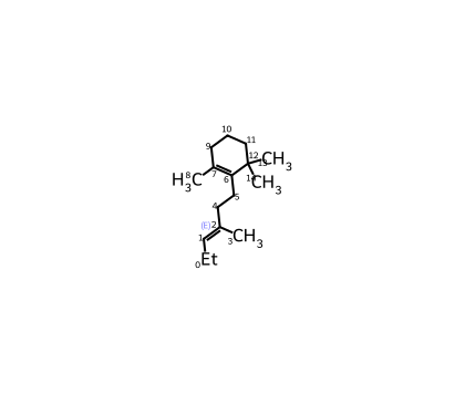 [CH2]C/C=C(\C)CCC1=C(C)CCCC1(C)C